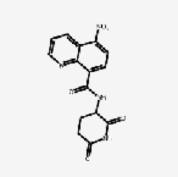 O=C1CCC(NC(=O)c2ccc([N+](=O)[O-])c3cccnc23)C(=O)N1